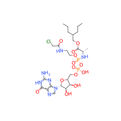 CCCC(CCC)COC(=O)[C@H](C)NP(=O)(OCCNC(=O)CCl)OP(=O)(O)OCC1O[C@@H](n2cnc3c(=O)[nH]c(N)nc32)[C@H](O)[C@@H]1O